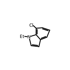 CCn1ccc2cccc(Cl)c21